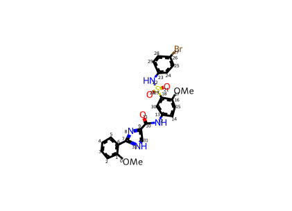 COc1ccccc1-c1nc(C(=O)Nc2ccc(OC)c(S(=O)(=O)Nc3ccc(Br)cc3)c2)c[nH]1